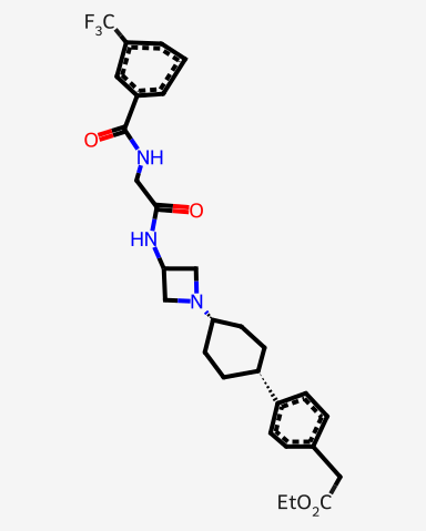 CCOC(=O)Cc1ccc([C@H]2CC[C@@H](N3CC(NC(=O)CNC(=O)c4cccc(C(F)(F)F)c4)C3)CC2)cc1